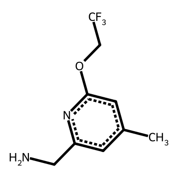 Cc1cc(CN)nc(OCC(F)(F)F)c1